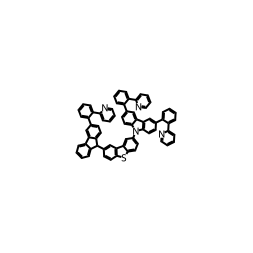 c1ccc(-c2ccccc2-c2ccc3c(c2)-c2ccccc2C3c2ccc3sc4ccc(-n5c6ccc(-c7ccccc7-c7ccccn7)cc6c6cc(-c7ccccc7-c7ccccn7)ccc65)cc4c3c2)nc1